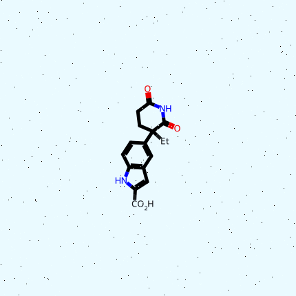 CCC1(c2ccc3[nH]c(C(=O)O)cc3c2)CCC(=O)NC1=O